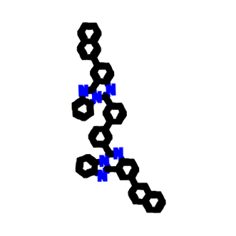 c1cc(-c2cccc(-c3nc4ccc(-c5ccc6ccccc6c5)cc4c4nc5ccccc5n34)c2)cc(-c2nc3ccc(-c4ccc5ccccc5c4)cc3c3nc4ccccc4n23)c1